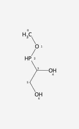 COPC(O)CO